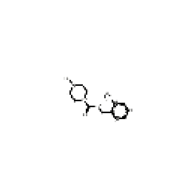 [CH2]CC(C)N1CCN(C(=O)OCc2ccccc2C(F)(F)F)CC1